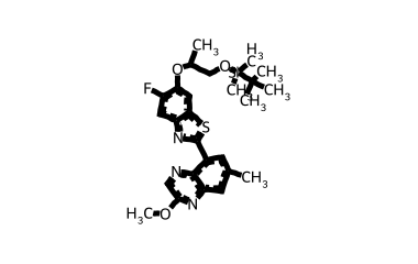 COc1cnc2c(-c3nc4cc(F)c(OC(C)CO[Si](C)(C)C(C)(C)C)cc4s3)cc(C)cc2n1